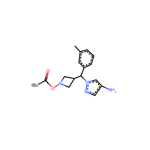 Cc1cccc(C(C2CN(OC(=O)C(C)(C)C)C2)n2cc(N)cn2)c1